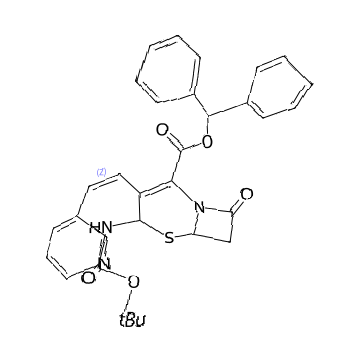 CC(C)(C)OC(=O)NC1SC2CC(=O)N2C(C(=O)OC(c2ccccc2)c2ccccc2)=C1/C=C\c1cccnc1